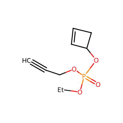 C#CCOP(=O)(OCC)OC1C=CC1